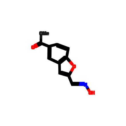 COC(=O)c1ccc2oc(/C=N/O)cc2c1